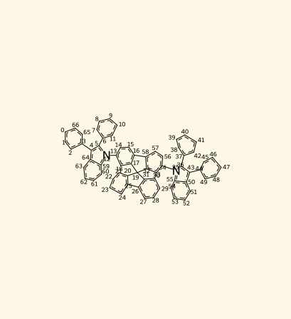 c1ccc(-c2c(-c3ccccc3)n(-c3ccc4c(c3)C3(c5ccccc5-c5ccccc53)c3cc(-n5c(-c6ccccc6)c(-c6ccccc6)c6ccccc65)ccc3-4)c3ccccc23)cc1